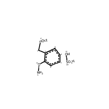 CCCCCCCCCc1ccccc1ON.O=S(=O)(O)O